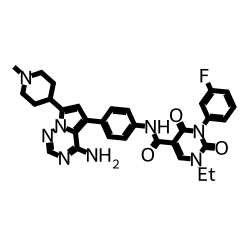 CCn1cc(C(=O)Nc2ccc(-c3cc(C4CCN(C)CC4)n4ncnc(N)c34)cc2)c(=O)n(-c2cccc(F)c2)c1=O